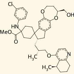 COC(=O)C1(Nc2cccc(Cl)c2)CCC2(CC1)c1cc3c(cc1C[C@@H]2C[C@@H](C)COc1ccnc2c1[C@H](C)CCC2)O[C@H](CO)CCO3